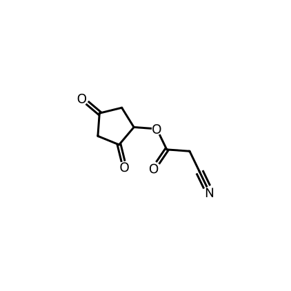 N#CCC(=O)OC1CC(=O)CC1=O